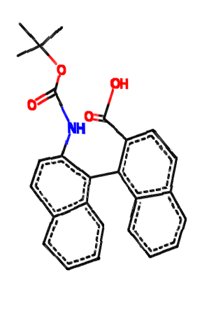 CC(C)(C)OC(=O)Nc1ccc2ccccc2c1-c1c(C(=O)O)ccc2ccccc12